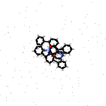 c1ccc(-c2cccc(-c3ccccc3)c2-n2c3ccccc3c3ccc(-c4ccccc4-n4c5ccccc5c5ccccc54)cc32)cc1